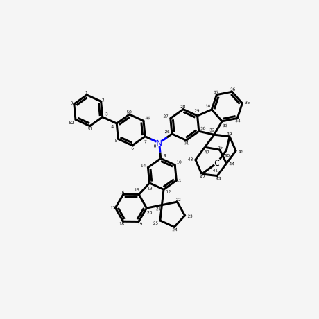 c1ccc(-c2ccc(N(c3ccc4c(c3)-c3ccccc3C43CCCC3)c3ccc4c(c3)C3(c5ccccc5-4)C4CCC5CC(C4)CC3C5)cc2)cc1